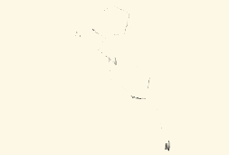 C=CCOC1CCN(CC2CCCCC2N)CC1